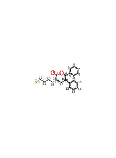 O=C1O[C@@H](c2ccccc2)[C@@H](c2ccccc2)C[C@@H]1CCCCF